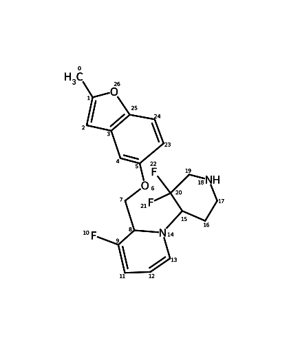 Cc1cc2cc(OCC3C(F)=CC=CN3C3CCNCC3(F)F)ccc2o1